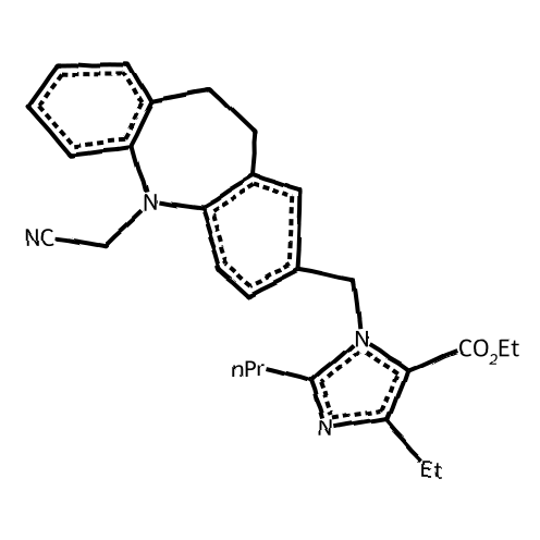 CCCc1nc(CC)c(C(=O)OCC)n1Cc1ccc2c(c1)CCc1ccccc1N2CC#N